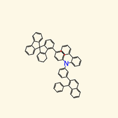 C1=CC2=C(CC1)c1c(-c3ccc(N(c4cccc(-c5ccc6ccccc6c5-c5ccccc5)c4)c4ccccc4-c4ccccc4)cc3)cccc1C21c2ccccc2-c2ccccc21